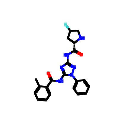 Cc1ccccc1C(=O)Nc1nc(NC(=O)[C@@H]2C[C@@H](F)CN2)nn1-c1ccccc1